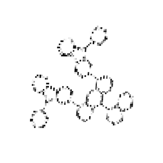 c1ccc(-n2c3ccccc3c3ccc(-c4cccc5c(-c6cccc7ccccc67)c6cccc(-c7ccc8c9ccccc9n(-c9ccccc9)c8c7)c6cc45)cc32)cc1